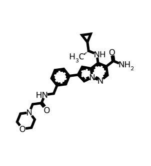 C[C@@H](Nc1c(C(N)=O)cnn2cc(-c3cccc(CNC(=O)CN4CCOCC4)c3)cc12)C1CC1